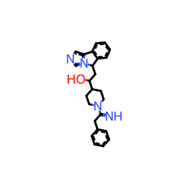 N=C(Cc1ccccc1)N1CCC(C(O)CC2c3ccccc3-c3cncn32)CC1